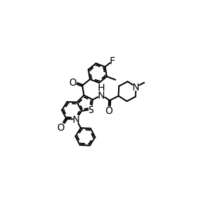 Cc1cc(C(=O)c2c(NC(=O)C3CCN(C)CC3)sc3c2ccc(=O)n3-c2ccccc2)ccc1F